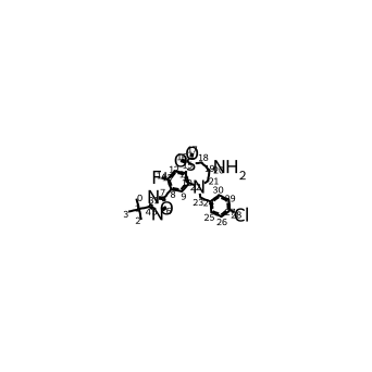 CC(C)(C)c1noc(-c2cc3c(cc2F)S(=O)(=O)C[C@H](N)CN3Cc2ccc(Cl)cc2)n1